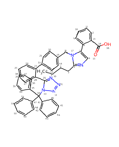 CCCCc1ncc(-c2ccccc2C(=O)O)n1Cc1ccc(-c2ccccc2-c2nnnn2C(c2ccccc2)(c2ccccc2)c2ccccc2)cc1